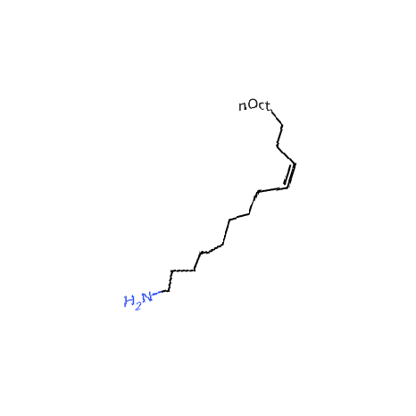 CCCCCCCCCC/C=C\CCCCCCCCN